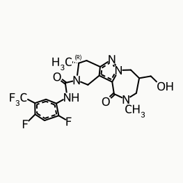 C[C@@H]1Cc2nn3c(c2CN1C(=O)Nc1cc(C(F)(F)F)c(F)cc1F)C(=O)N(C)CC(CO)C3